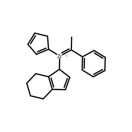 C/[C](c1ccccc1)=[Zr](\[C]1=CC=CC1)[CH]1C=CC2=C1CCCC2